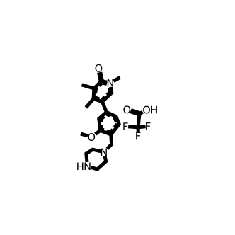 COc1cc(-c2cn(C)c(=O)c(C)c2C)ccc1CN1CCNCC1.O=C(O)C(F)(F)F